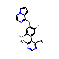 Cc1cc(Oc2nccn3cccc23)c(F)cc1-c1c(C)ncnc1C